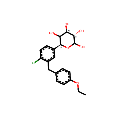 CCOc1ccc(Cc2cc([C@@H]3OC(O)[C@@H](O)[C@H](O)C3O)ccc2Cl)cc1